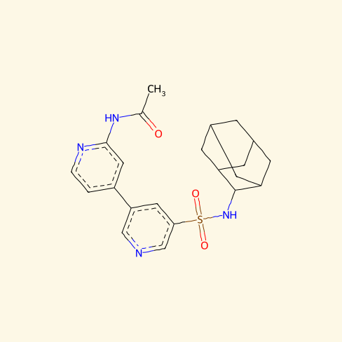 CC(=O)Nc1cc(-c2cncc(S(=O)(=O)NC3C4CC5CC(C4)CC3C5)c2)ccn1